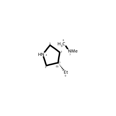 CC[C@H]1CCNC1.CNC